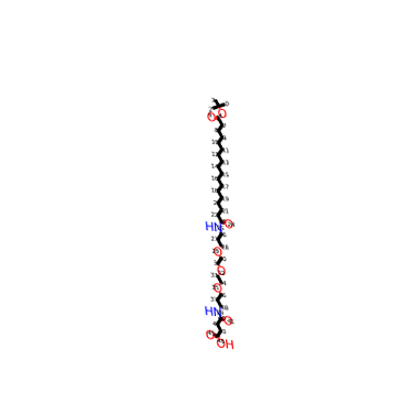 CC(C)(C)OC(=O)CCCCCCCCCCCCCCCCC(=O)NCCCOCCOCCOCCCNC(=O)CCC(=O)O